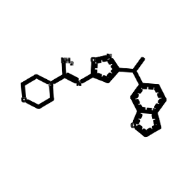 CC(c1ccc2ccoc2c1)c1cc(/N=C(\N)N2CCOCC2)on1